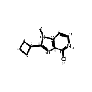 Cn1c(C2CCC2)nc2c(Cl)nccc21